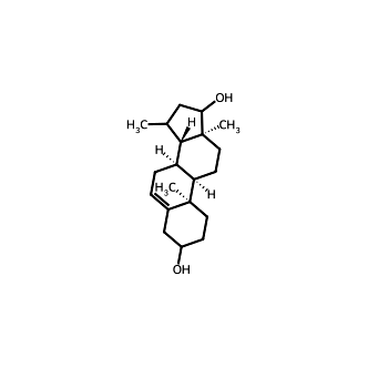 CC1CC(O)[C@@]2(C)CC[C@@H]3[C@@H](CC=C4CC(O)CC[C@@]43C)[C@H]12